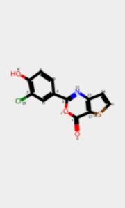 O=c1oc(-c2ccc(O)c(Cl)c2)nc2ccsc12